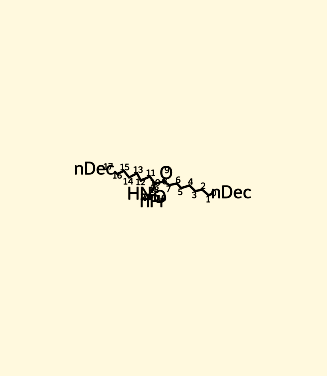 CCCCCCCCCCCCCCCCCC(=O)C(CCCCCCCCCCCCCCCC)C(=O)NCCC